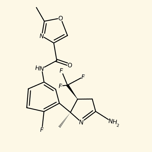 Cc1nc(C(=O)Nc2ccc(F)c([C@]3(C)N=C(N)C[C@@H]3C(F)(F)F)c2)co1